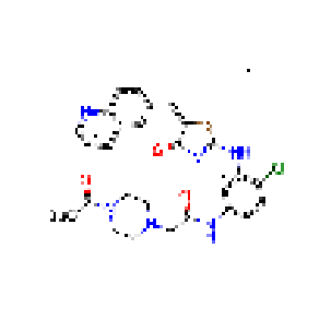 CC(C)COC(=O)N1CCN(CC(=O)Nc2ccc(Cl)c(NC3=NC(=O)C(=Cc4ccc5ncccc5c4)S3)c2)CC1